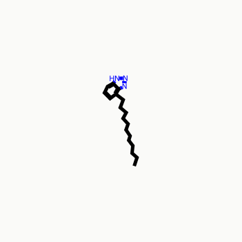 CCCCCCCCCCCCc1cccc2[nH]nnc12